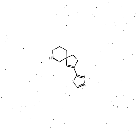 C1=C(c2nnco2)CCC12CCCNC2